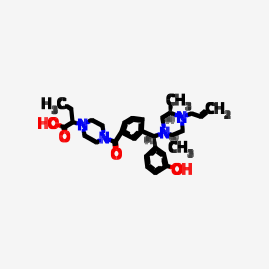 C=CCN1C[C@H](C)N([C@@H](c2cccc(O)c2)c2cccc(C(=O)N3CCN(C(CC)C(=O)O)CC3)c2)C[C@H]1C